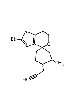 C#CCN1CCC2(C[C@H]1C)OCCc1sc(CC)cc12